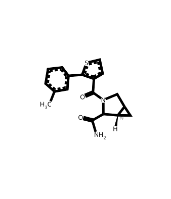 Cc1cccc(-c2sccc2C(=O)N2CC3C[C@@H]3C2C(N)=O)c1